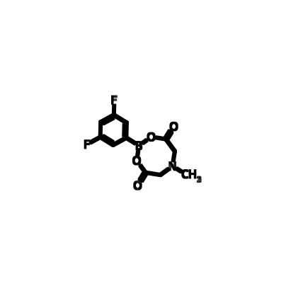 CN1CC(=O)OB(c2cc(F)cc(F)c2)OC(=O)C1